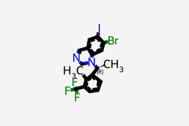 Cc1c([C@@H](C)N2CN=Cc3cc(I)c(Br)cc32)cccc1C(F)(F)F